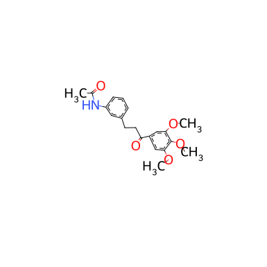 COc1cc(C(=O)CCc2cccc(NC(C)=O)c2)cc(OC)c1OC